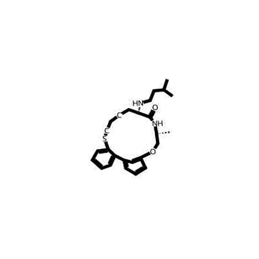 CC(C)CCN[C@H]1CCCCSc2ccccc2-c2cccc(c2)OC[C@@H](C)NC1=O